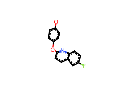 [O]c1ccc(Oc2ccc3cc(F)ccc3n2)cc1